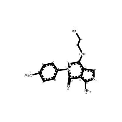 COc1ccc(-n2nc(NCC[18F])c3csc(N)c3c2=O)cc1